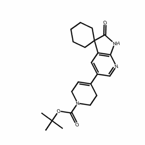 CC(C)(C)OC(=O)N1CC=C(c2cnc3c(c2)C2(CCCCC2)C(=O)N3)CC1